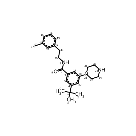 CC(C)(C)c1cc(C(=O)NCCc2cccc(F)c2)cc(N2CCNCC2)c1